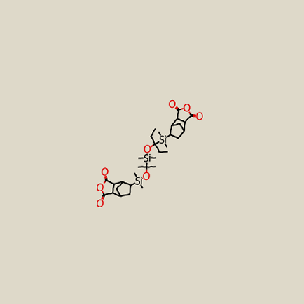 CCC(CC)(O[Si](C)(C)C(C)(C)O[Si](C)(C)C1CC2CC1C1C(=O)OC(=O)C21)[Si](C)(C)C1CC2CC1C1C(=O)OC(=O)C21